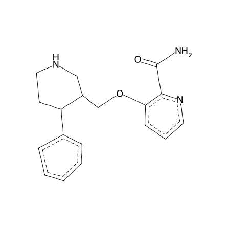 NC(=O)c1ncccc1OCC1CNCCC1c1ccccc1